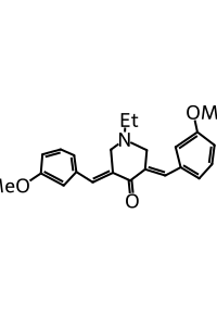 CCN1C/C(=C\c2cccc(OC)c2)C(=O)/C(=C/c2cccc(OC)c2)C1